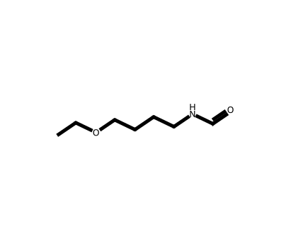 CCOCCCCN[C]=O